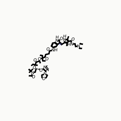 CCN(CC)CCNC(=O)c1c(C)[nH]c(/C=C2\C(=O)Nc3ccc(NC(=O)CCC(=O)C(CC)(CC)OC(C)C(=O)C(C)(CC)O[C@H](COc4nsnc4N4CCOCC4)CN(C(C)=O)C(C)(C)C)cc32)c1C